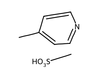 CS(=O)(=O)O.Cc1ccncc1